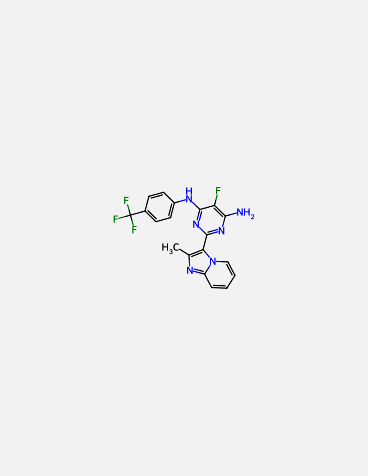 Cc1nc2ccccn2c1-c1nc(N)c(F)c(Nc2ccc(C(F)(F)F)cc2)n1